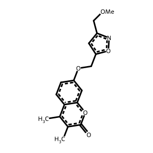 COCc1cc(COc2ccc3c(C)c(C)c(=O)oc3c2)on1